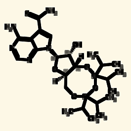 CC(C)[Si]1(C(C)C)OC[C@H]2O[C@@H](n3cc(C(N)=S)c4c(N)ncnc43)[C@H](O)[C@@H]2O[Si](C(C)C)(C(C)C)O1